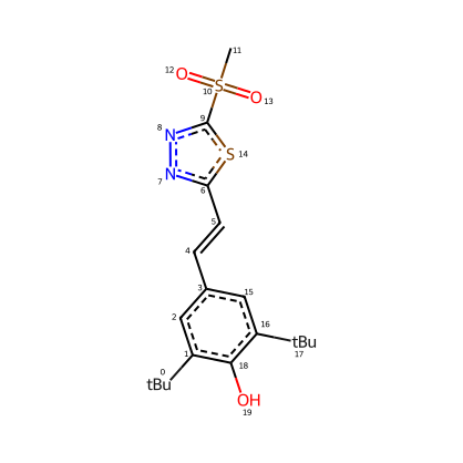 CC(C)(C)c1cc(C=Cc2nnc(S(C)(=O)=O)s2)cc(C(C)(C)C)c1O